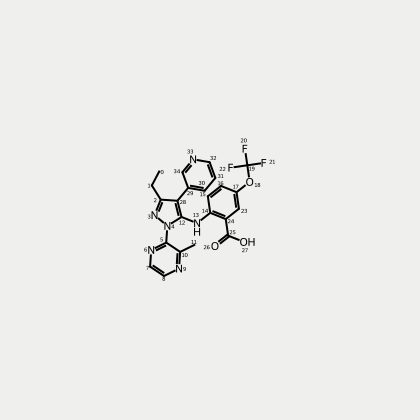 CCc1nn(-c2nccnc2C)c(Nc2ccc(OC(F)(F)F)cc2C(=O)O)c1-c1cccnc1